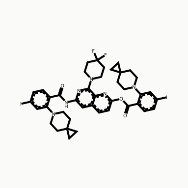 O=C(Nc1cc2ccc(OC(=O)c3ccc(I)cc3N3CCC4(CC3)CC4)nc2c(N2CCC(F)(F)CC2)n1)c1ccc(I)cc1N1CCC2(CC1)CC2